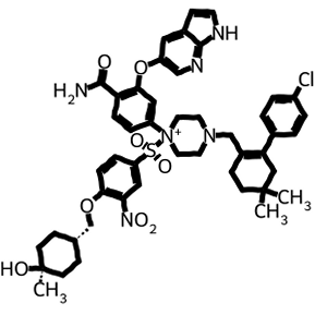 CC1(C)CCC(CN2CC[N+](c3ccc(C(N)=O)c(Oc4cnc5[nH]ccc5c4)c3)(S(=O)(=O)c3ccc(OC[C@H]4CC[C@](C)(O)CC4)c([N+](=O)[O-])c3)CC2)=C(c2ccc(Cl)cc2)C1